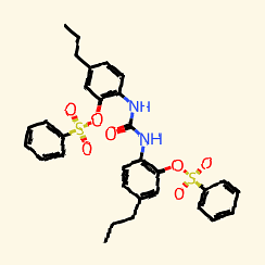 CCCc1ccc(NC(=O)Nc2ccc(CCC)cc2OS(=O)(=O)c2ccccc2)c(OS(=O)(=O)c2ccccc2)c1